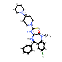 CN1C(=O)C(NC(=S)N2CCC(N3CCCCC3)CC2)N=C(c2ccccc2)c2cc(Cl)ccc21